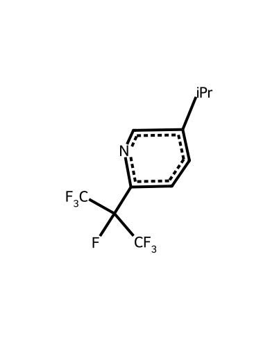 CC(C)c1ccc(C(F)(C(F)(F)F)C(F)(F)F)nc1